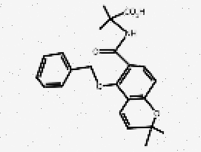 CC1(C)C=Cc2c(ccc(C(=O)NC(C)(C)C(=O)O)c2OCc2ccccc2)O1